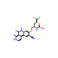 CC1=C2C(=O)N(C)C3C=C(OCC(CC=C(F)F)NC(=O)O)C(C#N)=CC3=C2C=CN1